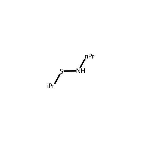 CCCNSC(C)C